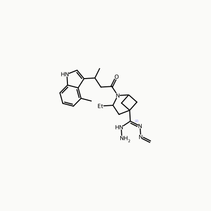 C=N/N=C(\NN)C12CC(CC)N(C(=O)CC(C)c3c[nH]c4cccc(C)c34)C(C1)C2